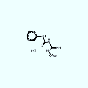 CONC(=N)NC(=O)Nc1ccccn1.Cl